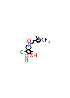 Cc1nc(C(F)(F)F)ccc1/C=C/C(=O)N1CCc2c(Cl)c(O)c(O)c(C)c2C1